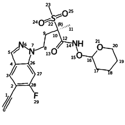 C#Cc1cc2cnn(CC[C@](C)(C(=O)NOC3CCCCO3)S(C)(=O)=O)c2cc1F